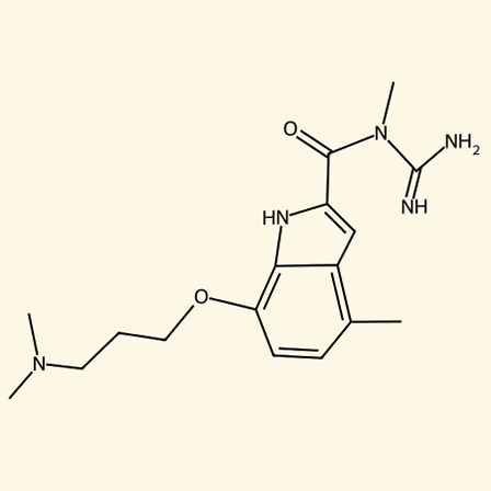 Cc1ccc(OCCCN(C)C)c2[nH]c(C(=O)N(C)C(=N)N)cc12